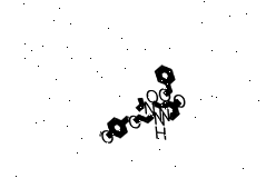 COc1ccc(COCCC2Nn3ccc(=O)c(OCc4ccccc4)c3C(=O)N2C(C)C)cc1